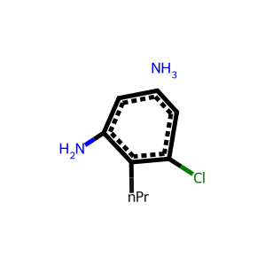 CCCc1c(N)cccc1Cl.N